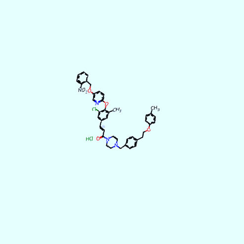 Cc1ccc(OCCc2ccc(CN3CCN(C(=O)/C=C/c4cc(C)c(Oc5ccc(OCc6ccccc6[N+](=O)[O-])cn5)c(Cl)c4)CC3)cc2)cc1.Cl